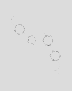 CN(C)Cc1ccc(-c2cnc(N)c(-c3nnc(-c4ccc(CO)cc4)o3)n2)cc1